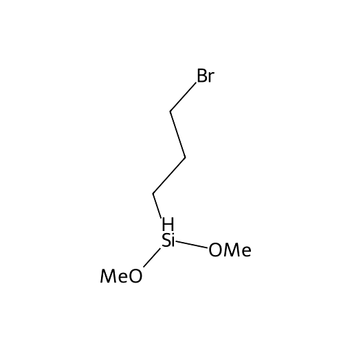 CO[SiH](CCCBr)OC